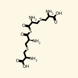 NC(CSC[C@H](N)C(=O)SC(=O)[C@@H](N)CSCC(N)C(=O)O)C(=O)O